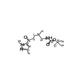 Cc1cc(C(=O)CCC(C)CNC(=O)OC(C)(C)C)n(C)n1